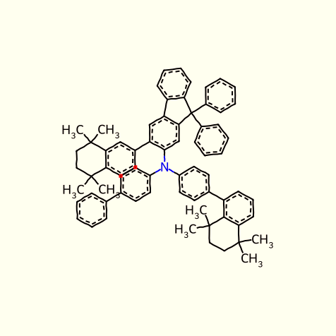 CC1(C)CCC(C)(C)c2cc(-c3cc4c(cc3N(c3ccc(-c5ccccc5)cc3)c3ccc(-c5cccc6c5C(C)(C)CCC6(C)C)cc3)C(c3ccccc3)(c3ccccc3)c3ccccc3-4)ccc21